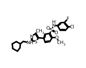 COc1ccc(-c2sc(NCC3CCCCC3)nc2C)cc1S(=O)(=O)Nc1ccc(Cl)c(F)c1